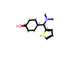 CN(C)C(c1cccs1)C1CCC(=O)CC1